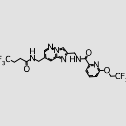 O=C(CCC(F)(F)F)NCc1cnn2cc(CNC(=O)c3cccc(OCC(F)(F)F)n3)nc2c1